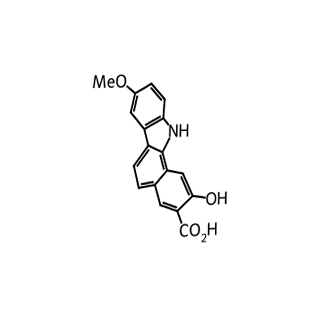 COc1ccc2[nH]c3c4cc(O)c(C(=O)O)cc4ccc3c2c1